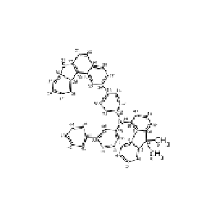 CC1(C)c2ccccc2-c2c(N(c3ccc(-c4ccc5ccc6sc7ccccc7c6c5c4)cc3)c3cccc(-c4ccccc4)c3)cccc21